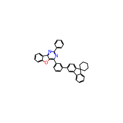 c1ccc(-c2nc(-c3cccc(-c4ccc5c(c4)-c4ccccc4C54CCCCC4)c3)c3oc4ccccc4c3n2)cc1